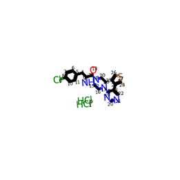 Cl.Cl.N[C@H](Cc1ccc(Cl)cc1)C(=O)N1CCN(c2ncncc2-c2ccsc2)CC1